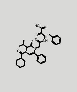 CC(C)C1C(=O)N(CC(=O)N[C@@H](Cc2ccccc2)C(=O)C(=O)O)C(c2ccccc2)=CN1C(=O)C1CCCCC1